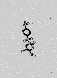 CS(=O)(=O)c1ccc(S(=O)(=O)n2cc(F)c(N)nc2=O)cc1